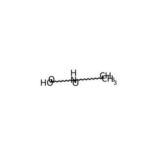 CC(C)CCCCCCCCCCCCCCC(=O)NCCCCCCCCCCCC(=O)O